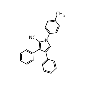 Cc1ccc(-n2cc(-c3ccccc3)c(-c3ccccc3)c2C#N)cc1